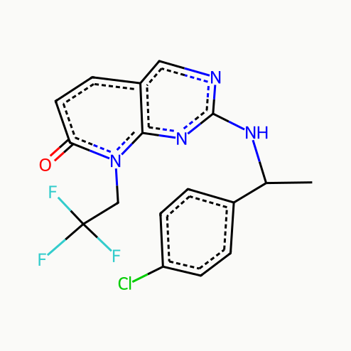 CC(Nc1ncc2ccc(=O)n(CC(F)(F)F)c2n1)c1ccc(Cl)cc1